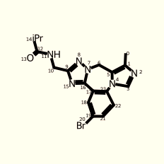 Cc1ncn2c1Cn1nc(CNC(=O)C(C)C)nc1-c1cc(Br)ccc1-2